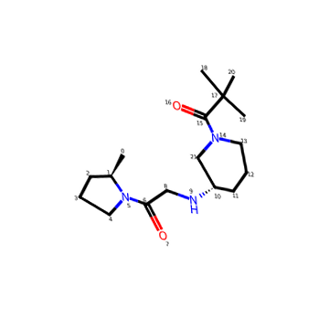 C[C@@H]1CCCN1C(=O)CN[C@H]1CCCN(C(=O)C(C)(C)C)C1